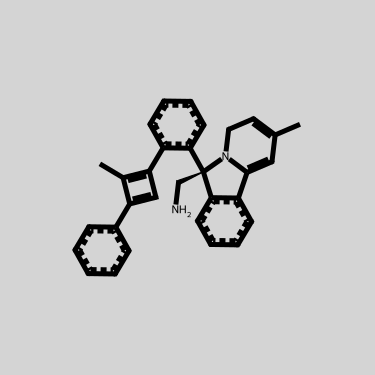 CC1=CCN2C(=C1)c1ccccc1[C@]2(CN)c1ccccc1C1=C(C)C(c2ccccc2)=C1